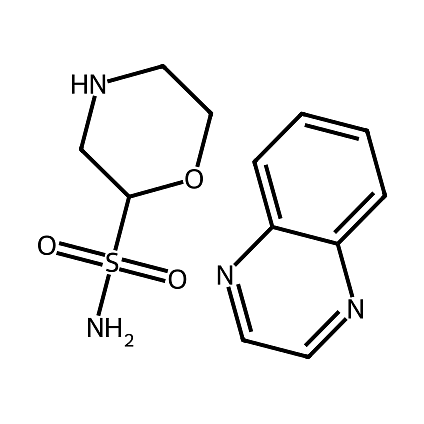 NS(=O)(=O)C1CNCCO1.c1ccc2nccnc2c1